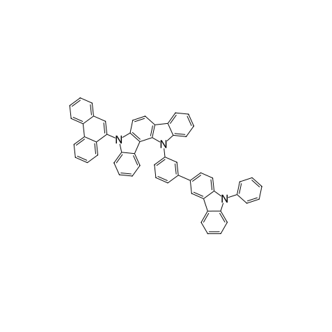 c1ccc(-n2c3ccccc3c3cc(-c4cccc(-n5c6ccccc6c6ccc7c(c8ccccc8n7-c7cc8ccccc8c8ccccc78)c65)c4)ccc32)cc1